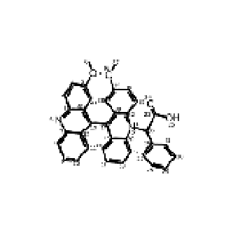 COc1ccc2nc3ccccc3c(-c3c4ccccc4[n+](C(C(=O)O)c4ccccc4)c4ccc(OC)cc34)c2c1